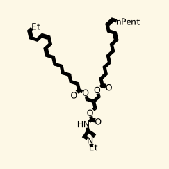 CC/C=C\C/C=C\C/C=C\CCCCCCCC(=O)OCC(COC(=O)CCCCCCC/C=C\C/C=C\CCCCC)COC(=O)NC1CN(CC)C1